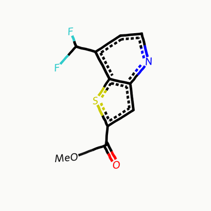 COC(=O)c1cc2nccc(C(F)F)c2s1